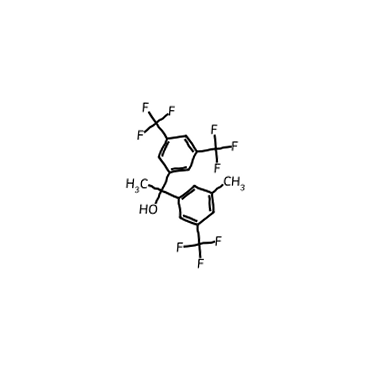 Cc1cc(C(F)(F)F)cc(C(C)(O)c2cc(C(F)(F)F)cc(C(F)(F)F)c2)c1